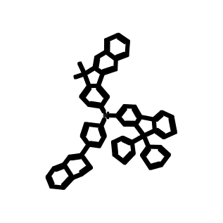 CC1(C)c2ccc(N(c3ccc(-c4ccc5ccccc5c4)cc3)c3ccc4c(c3)C(c3ccccc3)(c3ccccc3)c3ccccc3-4)cc2-c2cc3ccccc3cc21